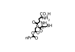 CCCC(=O)OC(=O)CN(C(=O)CC[C@H](N)C(=O)O)C(=O)[C@@H](N)CS